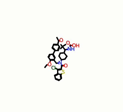 CCOc1ccc(-c2ccc(C(C)=O)cc2)cc1CN(C(=O)c1sc2ccccc2c1Cl)C1CCC(C(NC(=O)O)C(C)(C)C)CC1